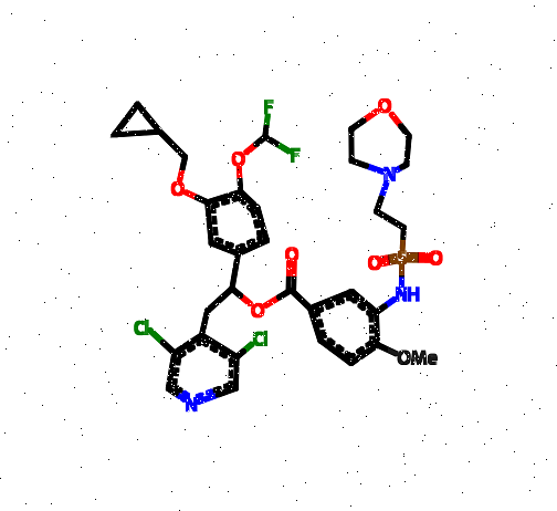 COc1ccc(C(=O)OC(Cc2c(Cl)cncc2Cl)c2ccc(OC(F)F)c(OCC3CC3)c2)cc1NS(=O)(=O)CCN1CCOCC1